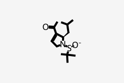 CC(=O)C1=CCN([S@+]([O-])C(C)(C)C)[C@@H]1CC(C)C